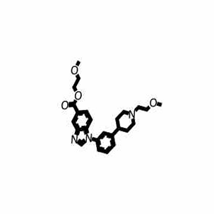 COCCOC(=O)c1ccc2c(c1)ncn2-c1cccc(C2CCN(CCOC)CC2)c1